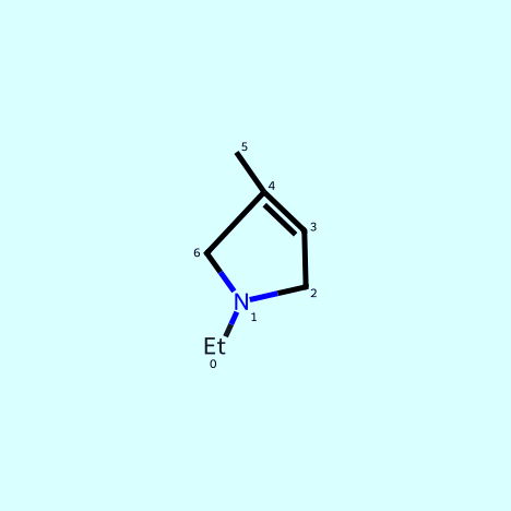 CCN1CC=C(C)C1